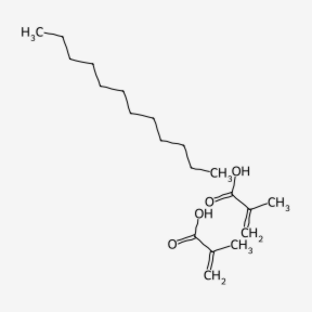 C=C(C)C(=O)O.C=C(C)C(=O)O.CCCCCCCCCCCC